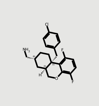 NC[C@@H]1CC[C@@]2(Cc3ccc(Cl)cc3)c3c(F)ccc(F)c3OC[C@H]2C1